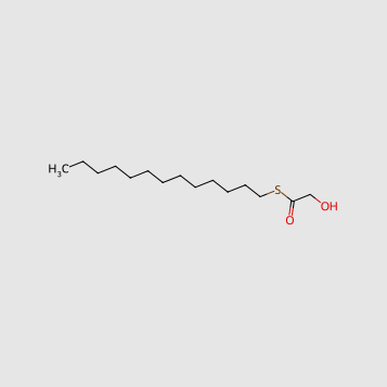 CCCCCCCCCCCCCSC(=O)CO